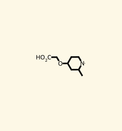 CC1CC(OCC(=O)O)CC[N]1